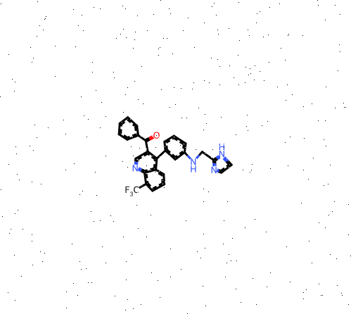 O=C(c1ccccc1)c1cnc2c(C(F)(F)F)cccc2c1-c1cccc(NCc2ncc[nH]2)c1